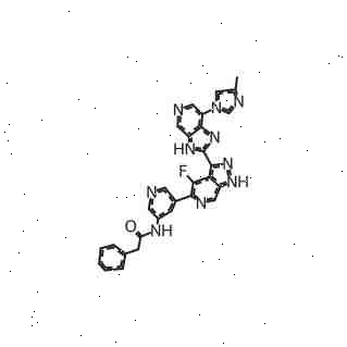 Cc1cn(-c2cncc3[nH]c(-c4n[nH]c5cnc(-c6cncc(NC(=O)Cc7ccccc7)c6)c(F)c45)nc23)cn1